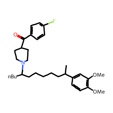 CCCCC(CCCCC[C](C)c1ccc(OC)c(OC)c1)N1CCC(C(=O)c2ccc(F)cc2)CC1